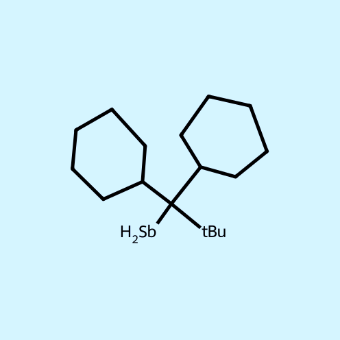 CC(C)(C)[C]([SbH2])(C1CCCCC1)C1CCCCC1